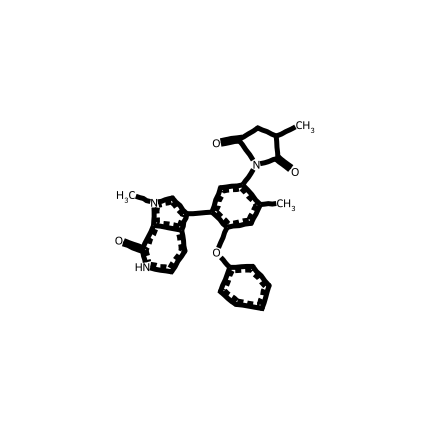 Cc1cc(Oc2ccccc2)c(-c2cn(C)c3c(=O)[nH]ccc23)cc1N1C(=O)CC(C)C1=O